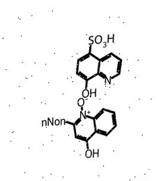 CCCCCCCCCc1cc(O)c2ccccc2[n+]1[O-].O=S(=O)(O)c1ccc(O)c2ncccc12